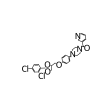 O=C(c1cccnc1)N1CCN(c2ccc(OCC3COC(c4ccc(Cl)cc4Cl)O3)cc2)CC1